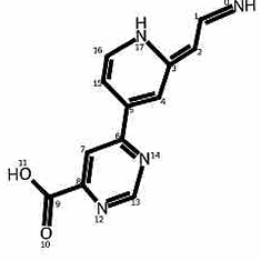 N=C/C=C1/C=C(c2cc(C(=O)O)ncn2)C=CN1